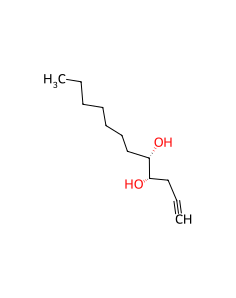 C#CC[C@H](O)[C@@H](O)CCCCCCC